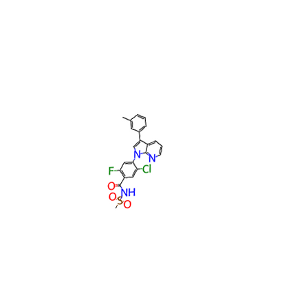 Cc1cccc(-c2cn(-c3cc(F)c(C(=O)NS(C)(=O)=O)cc3Cl)c3ncccc23)c1